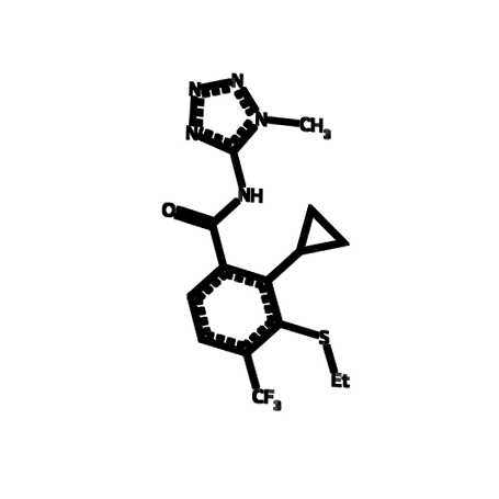 CCSc1c(C(F)(F)F)ccc(C(=O)Nc2nnnn2C)c1C1CC1